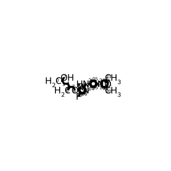 C=C(O)CCC(=C)COc1nc(Nc2ccc(N3C[C@@H](C)O[C@@H](C)C3)cc2)ncc1F